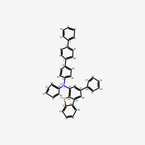 c1ccc(-c2ccc(-c3ccc(N(c4ccccc4)c4cc(-c5ccccc5)cc5c4sc4ccccc45)cc3)cc2)cc1